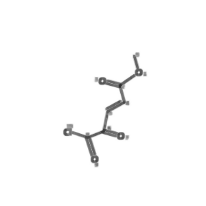 COC(=O)/C=C/C(=O)C(=O)Cl